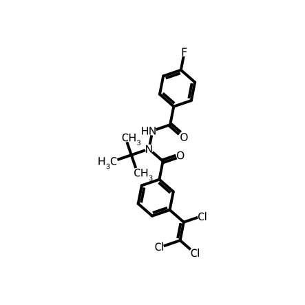 CC(C)(C)N(NC(=O)c1ccc(F)cc1)C(=O)c1cccc(C(Cl)=C(Cl)Cl)c1